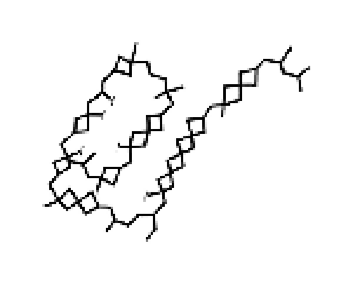 CCC(CCC(C)CC1CC2(C1)CC(C)(CC1CC(I)(CC3CC(I)(CC(I)CC4CC(C)(CCCC(C)(C)CC5CC6(C5)CC(I)(CC5CC(I)(CC(C)C)C5)C6)C4)C3)C1)C2)CC1(I)CC2(C1)CC1(CC3(CC(CC4(C)CC5(CC(CC(C)CC(C)C)C5)C4)C3)C1)C2